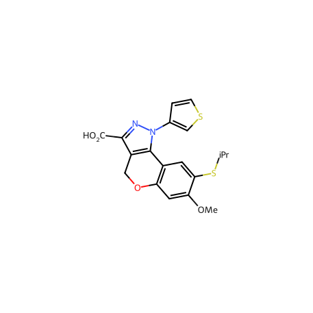 COc1cc2c(cc1SC(C)C)-c1c(c(C(=O)O)nn1-c1ccsc1)CO2